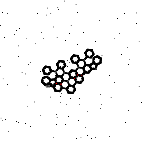 CC(C)(C)c1ccc(-c2cccc(-c3ccc(C(C)(C)C)cc3)c2N2c3cc4c(cc3B3c5ccccc5N(c5ccccc5)c5c3c2cc2oc3ccccc3c52)B2c3ccccc3N(c3ccccc3)c3c2c(cc2sc5ccccc5c32)O4)cc1